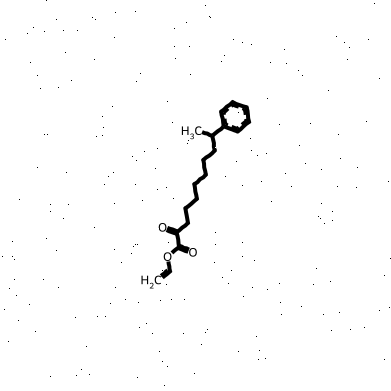 C=COC(=O)C(=O)CCCCCCCC(C)c1ccccc1